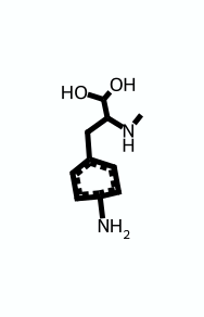 CNC(Cc1ccc(N)cc1)C(O)O